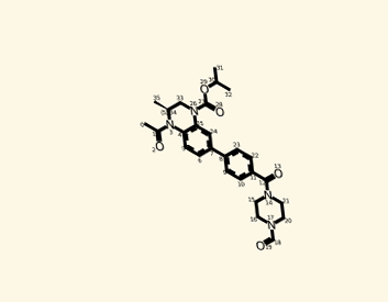 CC(=O)N1c2ccc(-c3ccc(C(=O)N4CCN(C=O)CC4)cc3)cc2N(C(=O)OC(C)C)C[C@@H]1C